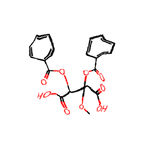 COC(OC(=O)c1ccccc1)(C(=O)O)C(OC(=O)c1ccccc1)C(=O)O